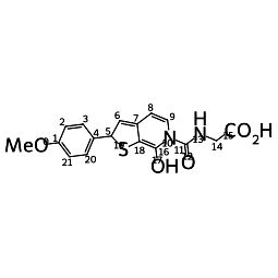 COc1ccc(C2C=C3C=CN(C(=O)NCC(=O)O)C(O)=C3S2)cc1